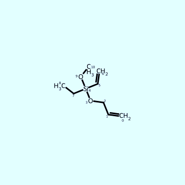 C=CCO[Si](C=C)(CC)OC